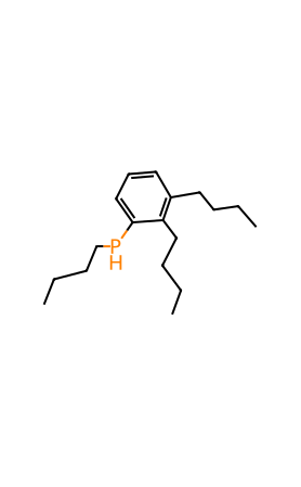 CCCCPc1cccc(CCCC)c1CCCC